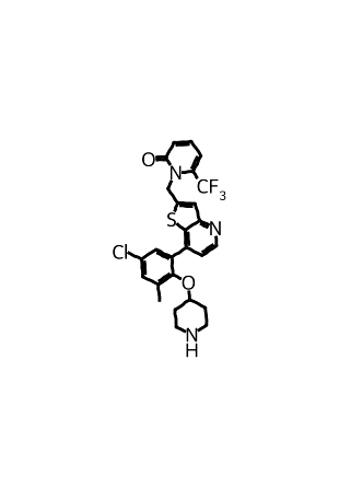 Cc1cc(Cl)cc(-c2ccnc3cc(Cn4c(C(F)(F)F)cccc4=O)sc23)c1OC1CCNCC1